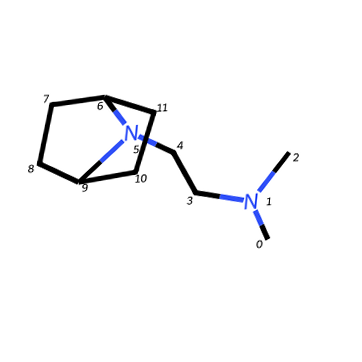 CN(C)CCN1C2CCC1CC2